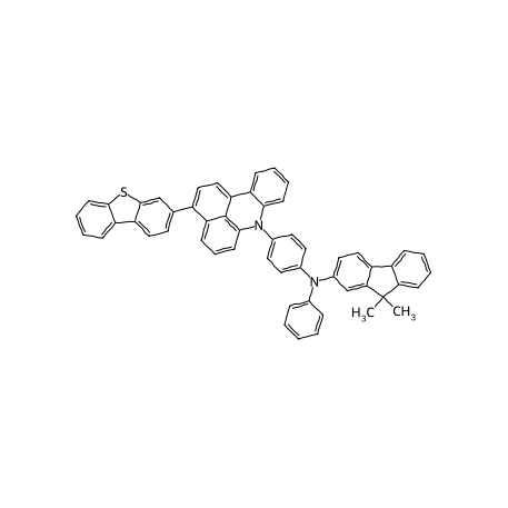 CC1(C)c2ccccc2-c2ccc(N(c3ccccc3)c3ccc(N4c5ccccc5-c5ccc(-c6ccc7c(c6)sc6ccccc67)c6cccc4c56)cc3)cc21